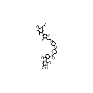 CCCn1cc(-c2cc(F)c(CCN3CCC(OC4CCN(C(=O)c5ccc(OC)c(-n6ccc(=O)[nH]c6=O)c5)CC4)CC3)c(F)c2)c(C)c(C)c1=O